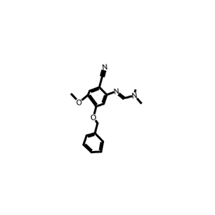 COc1cc(C#N)c(/N=C/N(C)C)cc1OCc1ccccc1